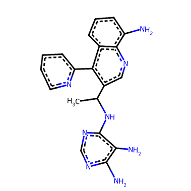 CC(Nc1ncnc(N)c1N)c1cnc2c(N)cccc2c1-c1ccccn1